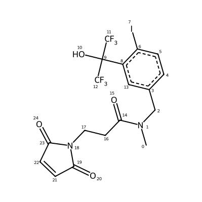 CN(Cc1ccc(I)c(C(O)(C(F)(F)F)C(F)(F)F)c1)C(=O)CCN1C(=O)C=CC1=O